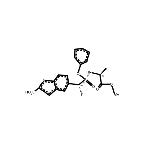 CCCOC(=O)[C@H](C)N[P@@](=O)(Oc1ccccc1)[C@H](F)c1ccc2sc(C(=O)O)cc2c1